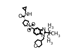 CC(C)(C)c1nc2cc(S(=O)(=O)N3CC[C@H](C(=O)NC4CC4)C3)ccc2n1CC1CCOCC1